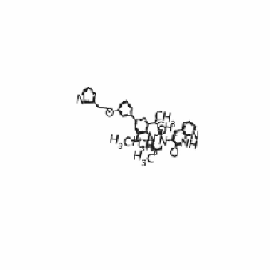 CC(C)CN(C(=O)Nc1c(C(C)C)cc(-c2cccc(OCCc3cccnc3)c2)cc1C(C)C)c1cc2cccnc2[nH]c1=O